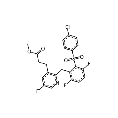 COC(=O)CCc1cc(F)cnc1Cc1c(F)ccc(F)c1S(=O)(=O)c1ccc(Cl)cc1